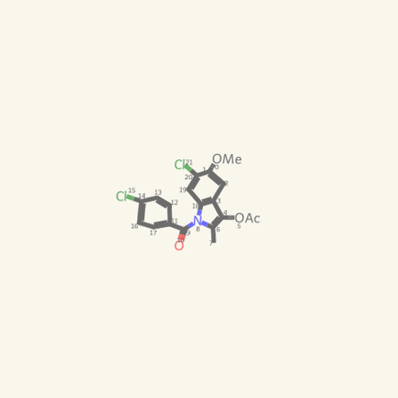 COc1cc2c(OC(C)=O)c(C)n(C(=O)c3ccc(Cl)cc3)c2cc1Cl